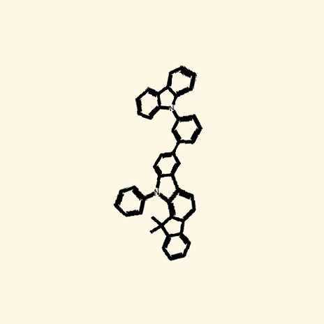 CC1(C)c2ccccc2-c2ccc3c4cc(-c5cccc(-n6c7ccccc7c7ccccc76)c5)ccc4n(-c4ccccc4)c3c21